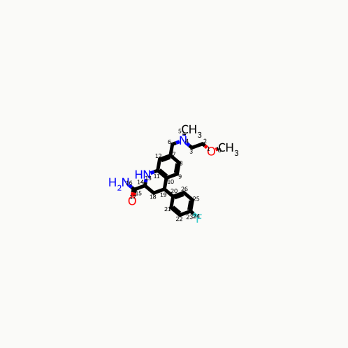 COCCN(C)Cc1ccc2c(c1)NC(C(N)=O)CC2c1ccc(F)cc1